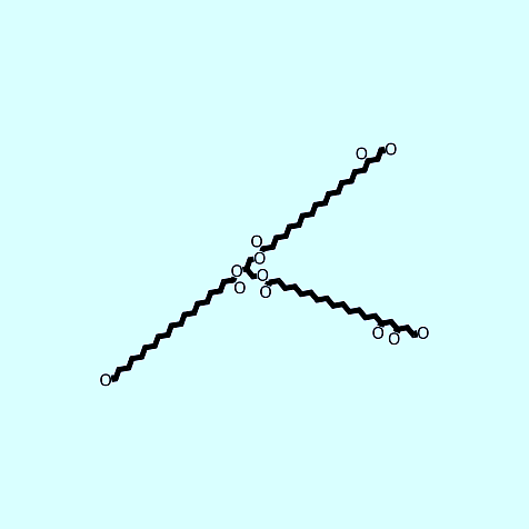 O=CCCCCCCCCCCCCCCCCCC(=O)OC(COC(=O)CCCCCCCCCCCCCCCC(=O)CC=O)COC(=O)CCCCCCCCCCCCCC(=O)CC(=O)CC=O